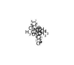 CCN(C(=O)c1ccccc1Cl)N(C(=O)c1ccc(SCl)cc1)C(C)(C)C